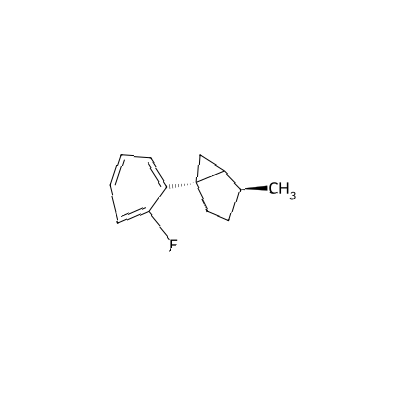 C[C@H]1CC[C@@]2(c3ccccc3F)CC12